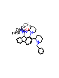 CCCCN(CC(F)(F)F)C(=O)C1c2ccccc2-c2ccc(C3CCCCN3Cc3ccccc3)c(N3CCCCC3NC=O)c21